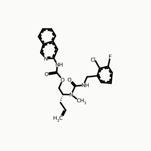 C=CC[C@H](COC(=O)Nc1cc2ccccc2cn1)N(C)C(=O)NCc1cccc(F)c1Cl